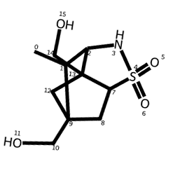 CC1C2NS(=O)(=O)C3CC1(CO)CC23CO